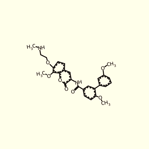 CNCCOc1ccc2cc(NC(=O)c3ccc(OC)c(-c4cccc(OC)c4)c3)c(=O)oc2c1OC